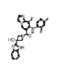 O=C(c1cn2ccnc2c(F)c1Nc1ccc(I)cc1F)N1CC(O)(c2nc3ccccc3[nH]2)C1